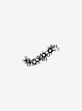 Cc1cc(Oc2ccnc(NC(=O)CC3CCN(C(=O)OC(C)(C)C)CC3)c2)ccc1N